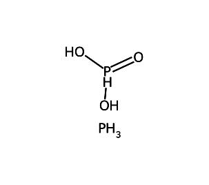 O=[PH](O)O.P